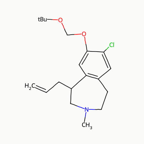 C=CCC1CN(C)CCc2cc(Cl)c(OCOC(C)(C)C)cc21